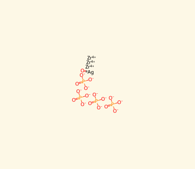 O=P([O-])([O-])[O-].O=P([O-])([O-])[O-].O=P([O-])([O-])[O-].O=P([O-])([O-])[O-].[O]=[Ag].[Zr+4].[Zr+4].[Zr+4]